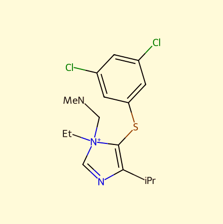 CC[N+]1(CNC)C=NC(C(C)C)=C1Sc1cc(Cl)cc(Cl)c1